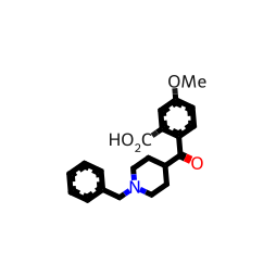 COc1ccc(C(=O)C2CCN(Cc3ccccc3)CC2)c(C(=O)O)c1